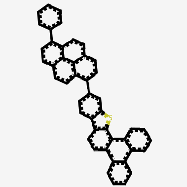 c1ccc(-c2ccc3ccc4c(-c5ccc6c(c5)sc5c6ccc6c7ccccc7c7ccccc7c65)ccc5ccc2c3c54)cc1